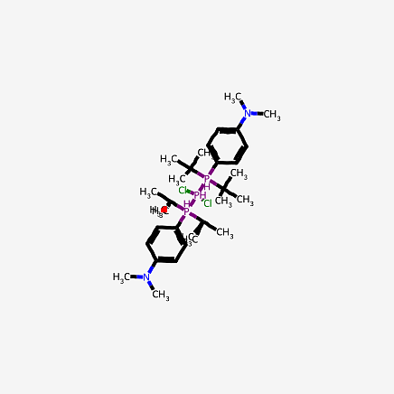 CN(C)c1ccc([PH](C(C)(C)C)(C(C)(C)C)[PH](Cl)(Cl)[PH](c2ccc(N(C)C)cc2)(C(C)(C)C)C(C)(C)C)cc1